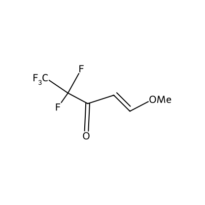 COC=CC(=O)C(F)(F)C(F)(F)F